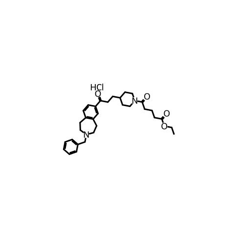 CCOC(=O)CCCC(=O)N1CCC(CCC(=O)c2ccc3c(c2)CCN(Cc2ccccc2)CC3)CC1.Cl